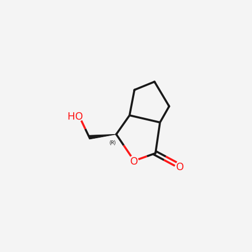 O=C1O[C@@H](CO)C2CCCC12